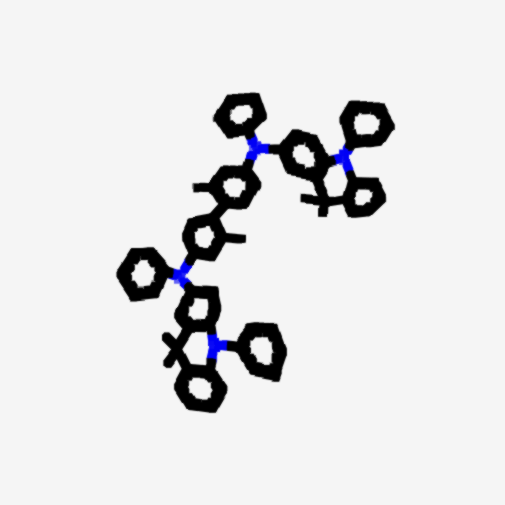 Cc1cc(N(c2ccccc2)c2ccc3c(c2)C(C)(C)c2ccccc2N3c2ccccc2)ccc1-c1ccc(N(c2ccccc2)c2ccc3c(c2)C(C)(C)c2ccccc2N3c2ccccc2)cc1C